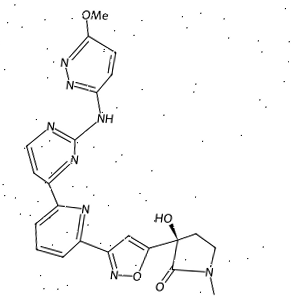 COc1ccc(Nc2nccc(-c3cccc(-c4cc([C@]5(O)CCN(C)C5=O)on4)n3)n2)nn1